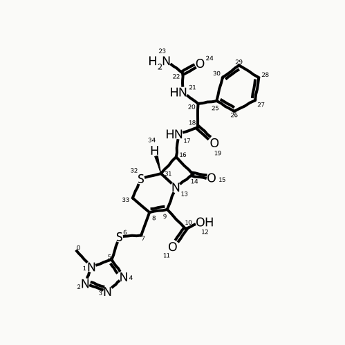 Cn1nnnc1SCC1=C(C(=O)O)N2C(=O)C(NC(=O)C(NC(N)=O)c3ccccc3)[C@H]2SC1